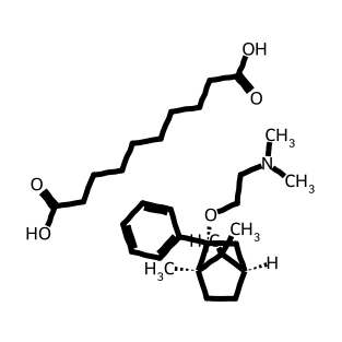 CN(C)CCO[C@]1(c2ccccc2)C[C@H]2CC[C@]1(C)C2(C)C.O=C(O)CCCCCCCCC(=O)O